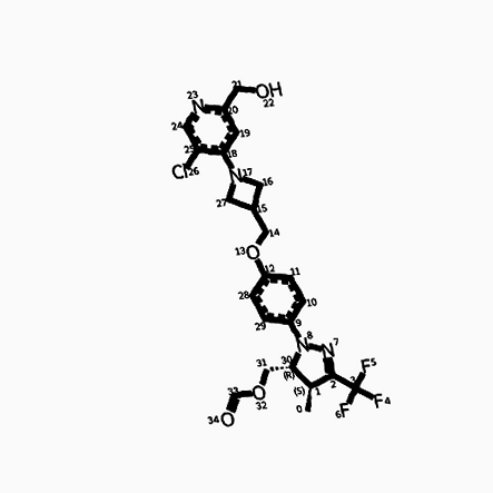 C[C@@H]1C(C(F)(F)F)=NN(c2ccc(OCC3CN(c4cc(CO)ncc4Cl)C3)cc2)[C@H]1COC=O